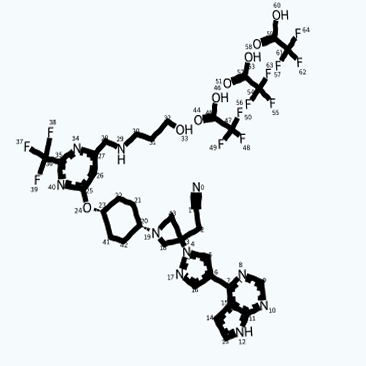 N#CCC1(n2cc(-c3ncnc4[nH]ccc34)cn2)CN([C@H]2CC[C@@H](Oc3cc(CNCCCO)nc(C(F)(F)F)n3)CC2)C1.O=C(O)C(F)(F)F.O=C(O)C(F)(F)F.O=C(O)C(F)(F)F